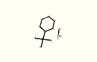 CC(C)(C)C1CCCCC1.CO